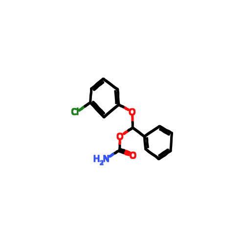 NC(=O)OC(Oc1cccc(Cl)c1)c1ccccc1